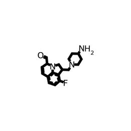 NC1CCN(CC2CN3c4c(ccc(F)c42)C=CC3C=O)CC1